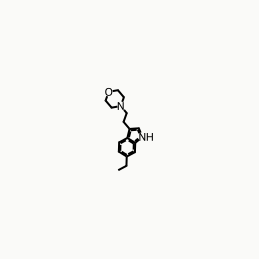 CCc1ccc2c(CCN3CCOCC3)c[nH]c2c1